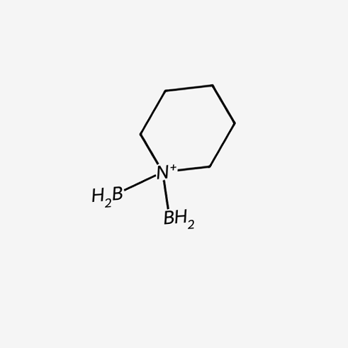 B[N+]1(B)CCCCC1